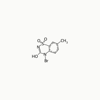 Cc1ccc2c(c1)S(=O)(=O)N=C(O)N2Br